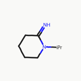 CC(C)N1CCCCC1=N